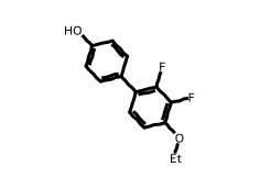 CCOc1ccc(-c2ccc(O)cc2)c(F)c1F